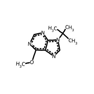 COc1ncnc2c1ncn2C(C)(C)C